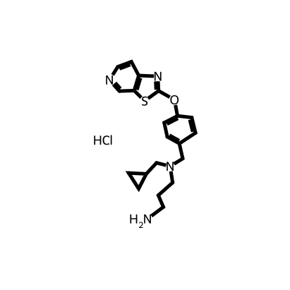 Cl.NCCCN(Cc1ccc(Oc2nc3ccncc3s2)cc1)CC1CC1